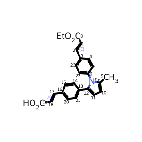 CCOC(=O)/C=C/c1ccc(-n2c(C)ccc2-c2ccc(/C=C/C(=O)O)cc2)cc1